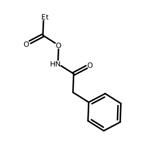 CCC(=O)ONC(=O)Cc1ccccc1